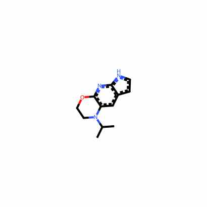 CC(C)N1CCOc2nc3[nH]ccc3cc21